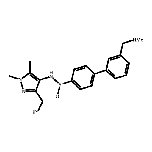 CNCc1cccc(-c2ccc([S+]([O-])Nc3c(CC(C)C)nn(C)c3C)cc2)c1